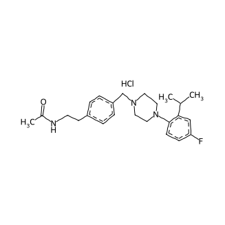 CC(=O)NCCc1ccc(CN2CCN(c3ccc(F)cc3C(C)C)CC2)cc1.Cl